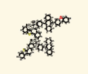 CC1(C)c2ccc(-c3c4ccccc4c(-c4ccc5c(c4)oc4ccccc45)c4ccccc34)cc2-c2c1c1c3ccccc3sc1c1cc(CC3(C)c4cc(-c5c6ccccc6cc6ccccc56)ccc4-c4c3ccc3c4ccc4c5ccccc5sc34)ccc21